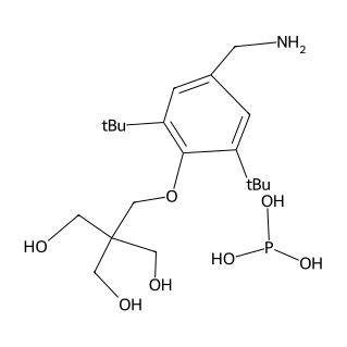 CC(C)(C)c1cc(CN)cc(C(C)(C)C)c1OCC(CO)(CO)CO.OP(O)O